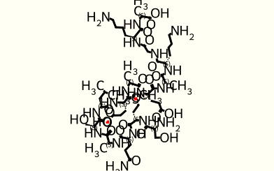 CSCC[C@H](NC(=O)[C@@H](N)CO)C(=O)N[C@@H](CCC(N)=O)C(=O)N[C@@H](C)C(=O)N[C@@H](CO)C(=O)N[C@@H](CC(C)C)C(=O)N[C@@H](CCC(=O)O)C(=O)N[C@@H](C)C(=O)N[C@@H](CCC(=O)O)C(=O)N[C@@H](C)C(=O)N[C@@H](CCCCN)C(=O)NCC(=O)N[C@@H](CCCCN)C(=O)N[C@@H](C)C(=O)O